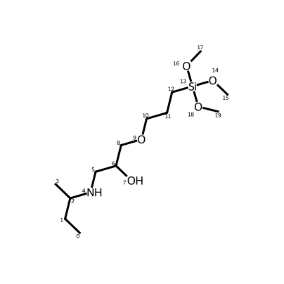 CCC(C)NCC(O)COCCC[Si](OC)(OC)OC